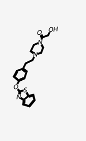 O=C(CO)N1CCN(CCc2ccc(Oc3nc4ccccc4s3)cc2)CC1